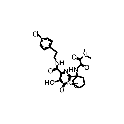 CN(C)C(=O)C(=O)NC12CCC(CC1)Cn1c2nc(C(=O)NCCc2ccc(Cl)cc2)c(O)c1=O